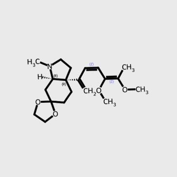 C=C(/C=C\C(OC)=C(/C)OC)[C@@]12CCN(C)[C@@H]1CC1(CC2)OCCO1